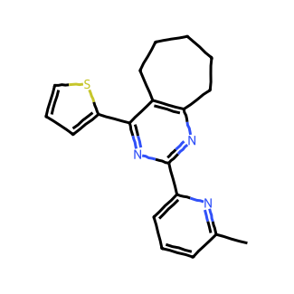 Cc1cccc(-c2nc3c(c(-c4cccs4)n2)CCCCC3)n1